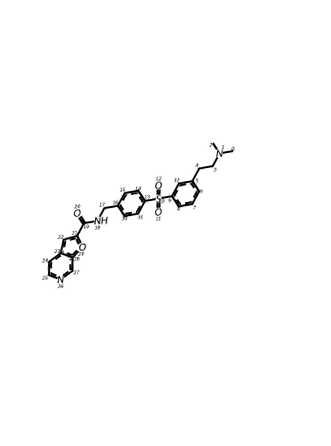 CN(C)CCc1cccc(S(=O)(=O)c2ccc(CNC(=O)c3cc4ccncc4o3)cc2)c1